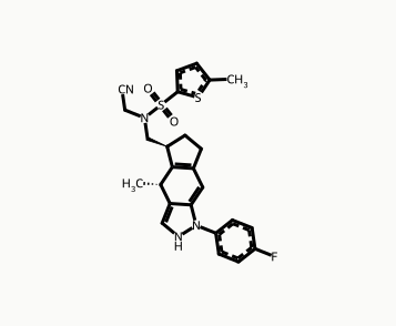 Cc1ccc(S(=O)(=O)N(CC#N)C[C@H]2CCC3=C2[C@@H](C)C2=CNN(c4ccc(F)cc4)C2=C3)s1